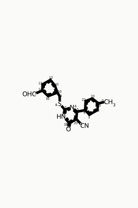 Cc1ccc(-c2nc(SCc3cccc(C=O)c3)[nH]c(=O)c2C#N)cc1